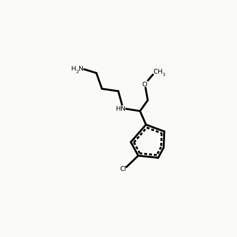 COCC(NCCCN)c1cccc(Cl)c1